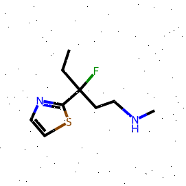 CCC(F)(CCNC)c1nccs1